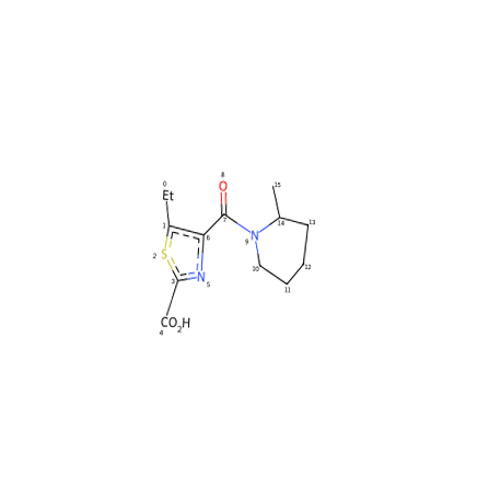 CCc1sc(C(=O)O)nc1C(=O)N1CCCCC1C